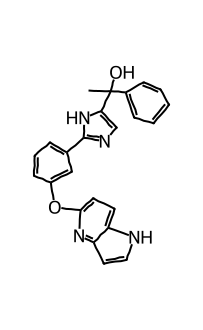 CC(O)(c1ccccc1)c1cnc(-c2cccc(Oc3ccc4[nH]ccc4n3)c2)[nH]1